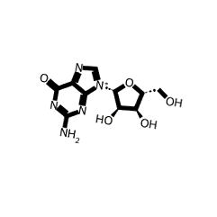 NC1=NC(=O)C2=NC=[N+]([C@@H]3O[C@H](CO)[C@@H](O)[C@H]3O)C2=N1